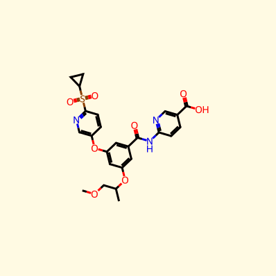 COCC(C)Oc1cc(Oc2ccc(S(=O)(=O)C3CC3)nc2)cc(C(=O)Nc2ccc(C(=O)O)cn2)c1